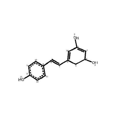 OC1=CC(O)CC(/C=C/c2ccc(O)cc2)=C1